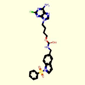 Nc1nc(Cl)nc2c1ncn2CCCCO[C@@H](O)NCc1ccc2c(ccn2S(=O)(=O)c2ccccc2)c1